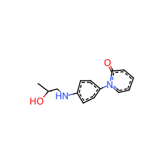 C[C](O)CNc1ccc(-n2ccccc2=O)cc1